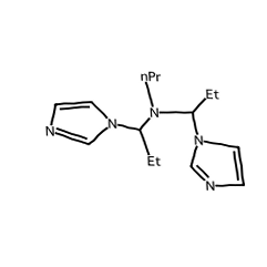 CCCN(C(CC)n1ccnc1)C(CC)n1ccnc1